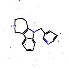 c1cncc(Cn2c3c(c4ccccc42)CNCCC3)c1